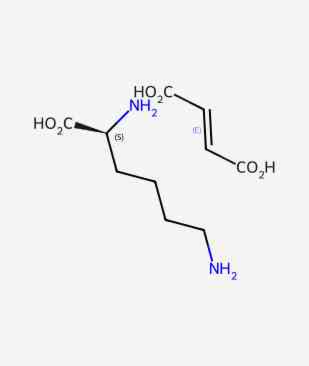 NCCCC[C@H](N)C(=O)O.O=C(O)/C=C/C(=O)O